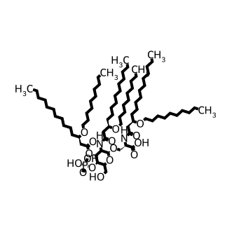 CCCCCCCCCCC[C@H](CC(=O)NC1[C@H](OC[C@H](NC(=O)C[C@@H](CCCCCCCCCCC)OCCCCCCCCCC)C(=O)O)OC(CO)[C@@H](OP(=O)(O)O)[C@@H]1OC(=O)C[C@@H](CCCCCCCCCCC)OCCCCCCCCCC)OCCCCCCCCCC